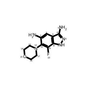 Nc1cc2c(N)n[nH]c2c(F)c1N1CCOCC1